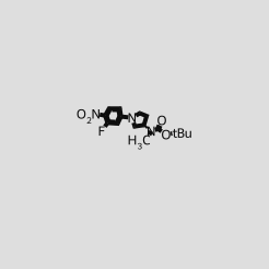 CN(C(=O)OC(C)(C)C)[C@@H]1CCN(c2ccc([N+](=O)[O-])c(F)c2)C1